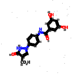 O=C(Nc1ccc(-n2cc(C(=O)O)c(=O)[nH]2)cc1)c1cc(O)cc(O)c1